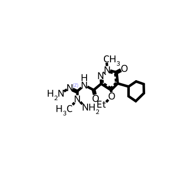 CCOc1c(C(=O)N/C(=N/N)N(C)N)nn(C)c(=O)c1C1CCCCC1